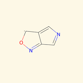 [CH]1ON=C2C=NC=C12